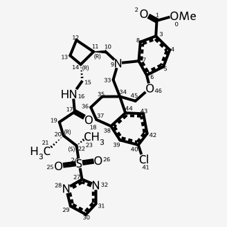 COC(=O)c1ccc2c(c1)N(C[C@@H]1CC[C@H]1CNC(=O)C[C@@H](C)[C@H](C)S(=O)(=O)c1ncccn1)CC1(CCCc3cc(Cl)ccc31)CO2